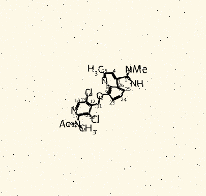 CNC(=N)c1cc(C)nc2c(OCc3c(Cl)cnc(N(C)C(C)=O)c3Cl)cccc12